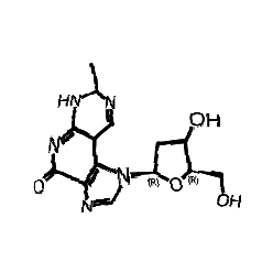 CC1N=CC2C(=NC(=O)c3ncn([C@H]4CC(O)[C@@H](CO)O4)c32)N1